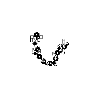 O=C1CC[C@H](N2C(=O)c3cc(F)c(N4CCC(C(=O)N5CCN(CC6CCN(c7ccc(Nc8ncnc9c8ncn9C8CC(NC(=O)c9c(Cl)cccc9Cl)C8)cc7)CC6)CC5)CC4)cc3C2=O)C(=O)N1